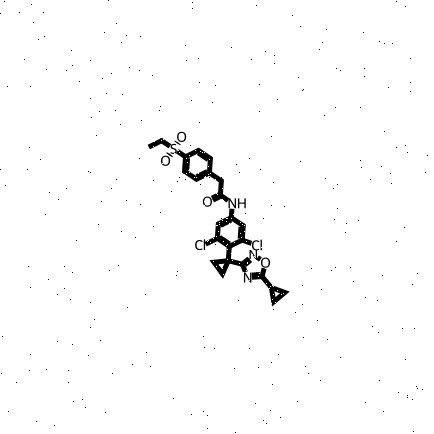 CCS(=O)(=O)c1ccc(CC(=O)Nc2cc(Cl)c(C3(c4noc(C5CC5)n4)CC3)c(Cl)c2)cc1